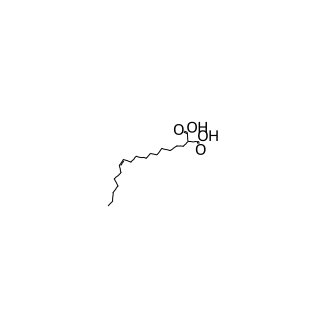 CCCCCC/C=C\CCCCCCCCCC(C(=O)O)C(=O)O